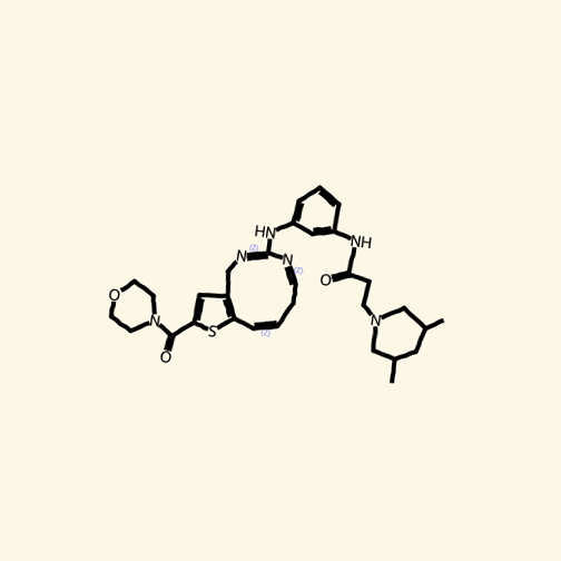 CC1CC(C)CN(CCC(=O)Nc2cccc(NC3=N/Cc4cc(C(=O)N5CCOCC5)sc4/C=C\C/C=N\3)c2)C1